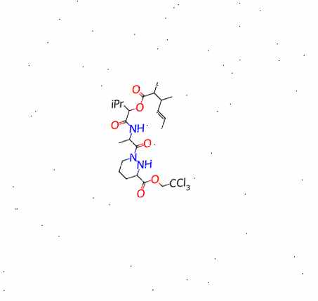 C/C=C/C(C)C(C)C(=O)OC(C(=O)NC(C)C(=O)N1CCCC(C(=O)OCC(Cl)(Cl)Cl)N1)C(C)C